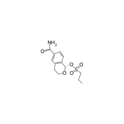 CCCS(=O)(=O)O[C@@H]1OCCc2cc(C(N)=O)ccc21